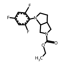 CCOC(=O)N1CC2CCN(c3c(F)cc(F)cc3F)C2C1